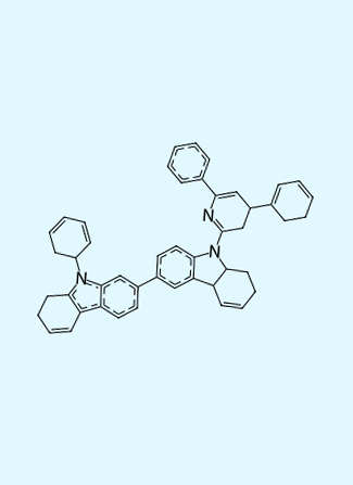 C1=CCCC(C2C=C(c3ccccc3)N=C(N3c4ccc(-c5ccc6c7c(n(C8C=CC=CC8)c6c5)CCC=C7)cc4C4C=CCCC43)C2)=C1